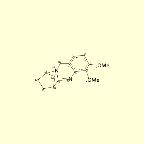 COc1ccc2c(c1OC)N=C1C3CCC(C3)N1C2